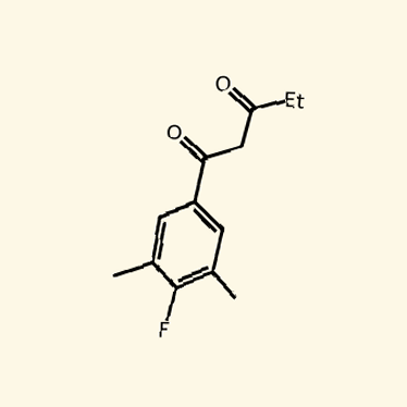 CCC(=O)CC(=O)c1cc(C)c(F)c(C)c1